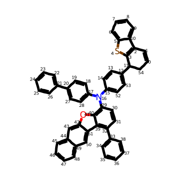 C1=Cc2c(sc3ccccc23)C(c2ccc(N(c3ccc(-c4ccccc4)cc3)c3ccc(-c4ccccc4)c4c3oc3cc5ccccc5cc34)cc2)C1